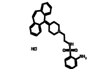 Cl.Nc1ccccc1S(=O)(=O)NCCN1CCC(=C2c3ccccc3C=Cc3ccccc32)CC1